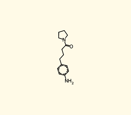 Nc1ccc(CCCC(=O)N2CCCC2)cc1